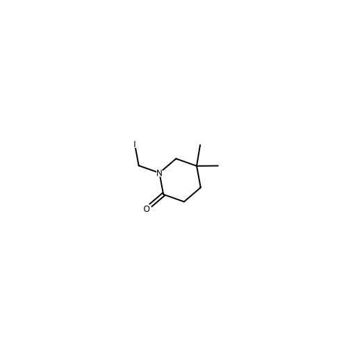 CC1(C)CCC(=O)N(CI)C1